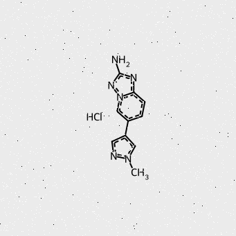 Cl.Cn1cc(-c2ccc3nc(N)nn3c2)cn1